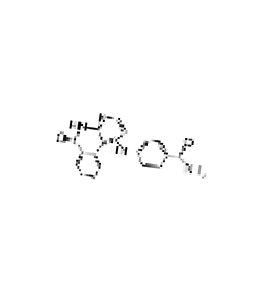 NC(=O)c1ccc(Nc2ccnc3[nH]c(=O)c4ccccc4c23)cc1